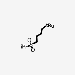 CC(C)S(=O)(=O)CCCCC(C)(C)C